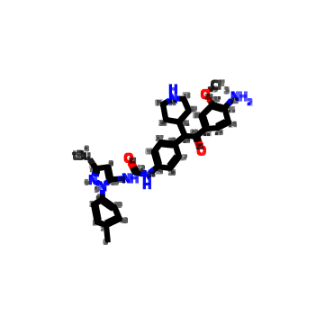 Cc1ccc(-n2nc(C(C)(C)C)cc2NC(=O)Nc2ccc(C(C(=O)c3ccc(N)c(OC(F)(F)F)c3)C3CCNCC3)cc2)cc1